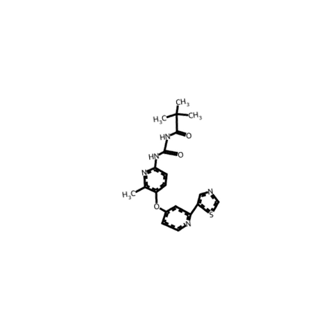 Cc1nc(NC(=O)NC(=O)C(C)(C)C)ccc1Oc1ccnc(-c2cncs2)c1